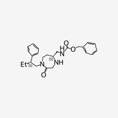 CC[C@H](CN1CC[C@@H](CNC(=O)OCc2ccccc2)NCC1=O)c1ccccc1